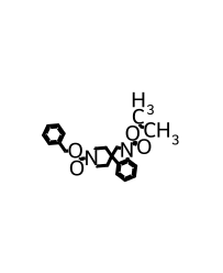 CC(C)OC(=O)N1CC2(CCN(C(=O)OCc3ccccc3)CC2)c2ccccc21